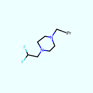 CC(C)CN1CCN(CC(F)F)CC1